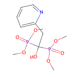 COP(=O)(OC)C(O)(Cc1ccccn1)P(=O)(OC)OC